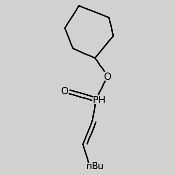 CCCCC=C[PH](=O)OC1CCCCC1